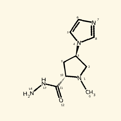 CN1C[C@H](n2ccnc2)C[C@H]1C(=O)NN